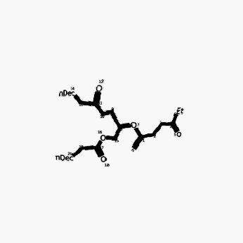 C=C(CCC(=O)CC)OC(CCC(=O)CCCCCCCCCCC)COC(=O)CCCCCCCCCCC